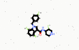 O=C(NC1CCNC[C@@H]1F)c1cn(Cc2ccc(F)cc2)c2c(F)ccc(F)c12